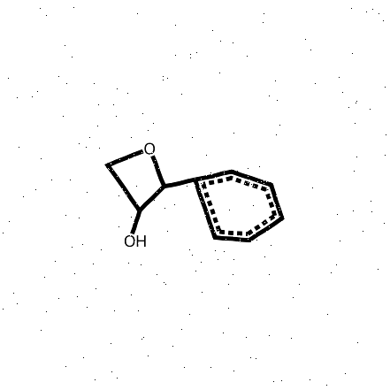 OC1COC1c1ccccc1